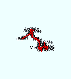 C=C1C[C@H]2C(O)N(C(=O)OCc3ccc(O[C@@H]4O[C@H](C(=O)OC)[C@@H](OC(C)=O)[C@H](OC(C)=O)[C@H]4OC(C)=O)c(C(=O)NCCOC)c3)c3cc(OCCCC(=O)Nc4cc(C(=O)Nc5cc(C(=O)NCCCN(C)C(=O)OCc6ccc(O[C@@H]7O[C@H](C(=O)OC)[C@@H](OC(C)=O)[C@H](OC(C)=O)[C@H]7OC(C)=O)c(C(=O)NCCOCCOCCONC(=O)OC(C)(C)C)c6)n(C)c5)n(C)c4)c(OC)cc3C(=O)N2C1